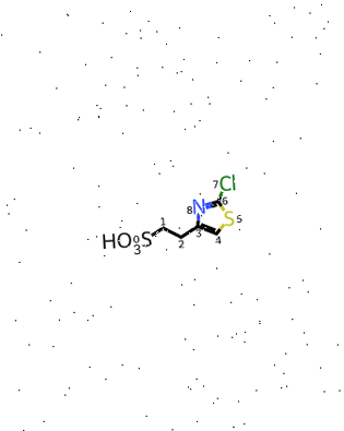 O=S(=O)(O)CCc1csc(Cl)n1